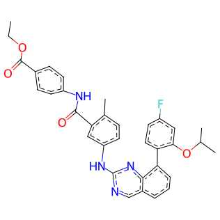 CCOC(=O)c1ccc(NC(=O)c2cc(Nc3ncc4cccc(-c5ccc(F)cc5OC(C)C)c4n3)ccc2C)cc1